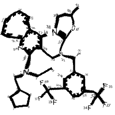 CCN(CC1CCCC1)c1nc2ccccc2c(C)c1CN(Cc1cc(C(F)(F)F)cc(C(F)(F)F)c1)C1=NCC(C)O1